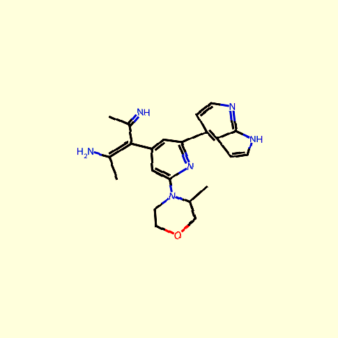 CC(=N)/C(=C(/C)N)c1cc(-c2ccnc3[nH]ccc23)nc(N2CCOCC2C)c1